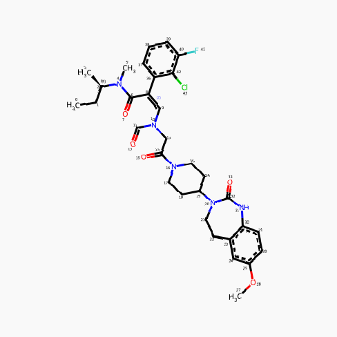 CC[C@@H](C)N(C)C(=O)/C(=C\N(C=O)CC(=O)N1CCC(N2CCc3cc(OC)ccc3NC2=O)CC1)c1cccc(F)c1Cl